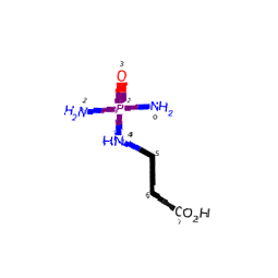 NP(N)(=O)NCCC(=O)O